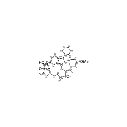 COC1=CC2C(C)=C(C(=O)N(C)CCCCN(C)S(N)(=O)=O)CN3c4cc(C(=O)O)ccc4C(C4CCCCC4)C3C2C=C1